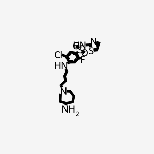 NC1CCCN(CCCCNc2cc(F)c(S(=O)(=O)Nc3nccs3)cc2Cl)CC1